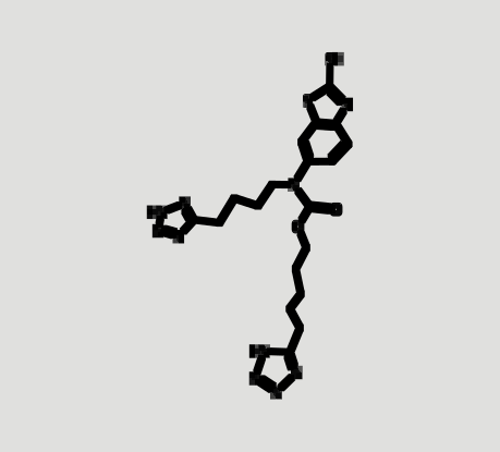 O=C(OCCCCCc1nnn[nH]1)N(CCCCc1nn[nH]n1)c1ccc2nc(S)sc2c1